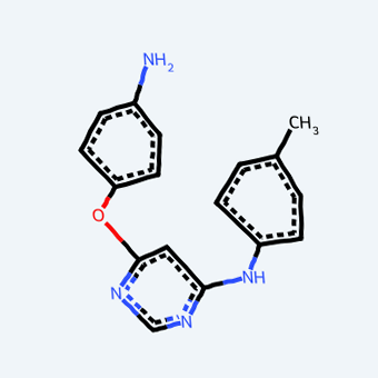 Cc1ccc(Nc2cc(Oc3ccc(N)cc3)ncn2)cc1